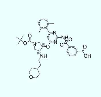 Cc1cccc(C)c1-c1cc(O[C@@H]2CN(C(=O)OC(C)(C)C)C[C@H]2NCCC2CCOCC2)nc(NS(=O)(=O)c2cccc(C(=O)O)c2)n1